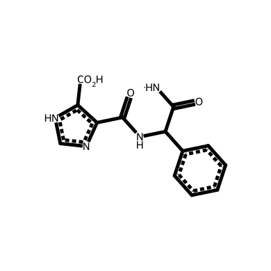 [NH]C(=O)C(NC(=O)c1nc[nH]c1C(=O)O)c1ccccc1